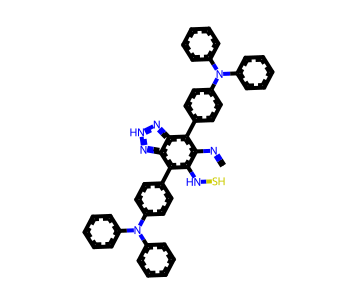 C=Nc1c(NS)c(-c2ccc(N(c3ccccc3)c3ccccc3)cc2)c2n[nH]nc2c1-c1ccc(N(c2ccccc2)c2ccccc2)cc1